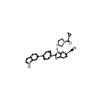 N#Cc1ccc2nc(-c3ccc(-c4ccc5cc[nH]c5c4)cc3)n(C[C@@H]3CCN(C(=O)C4CC4)C3)c2c1